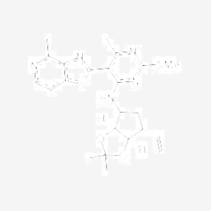 C=C[C@H]1CC(Nc2nc(SC)nc(C)c2-c2nc3c(C)nccc3s2)[C@@H]2OC(C)(C)O[C@H]12